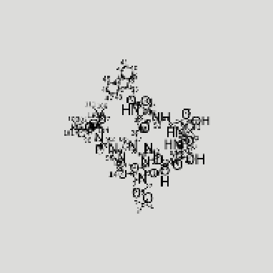 CC(C)(C)OC(=O)CN(CC(=O)OC(C)(C)C)C(=O)Cn1ccnc1CN(CCCCC(NC(=O)OCC1c2ccccc2-c2ccccc21)(C(=O)NCCCCC(NC(=O)NC(CCC(=O)O)(C(=O)O)C(C)(C)C)(C(=O)O)C(C)(C)C)C(C)(C)C)Cc1nccn1CC(=O)N(CC(=O)OC(C)(C)C)CC(=O)OC(C)(C)C